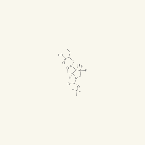 CCC(CN1OC[C@H]2[C@@H]1C(F)(F)CN2C(=O)OC(C)(C)C)C(=O)O